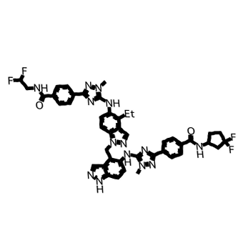 CCc1c(Nc2nc(-c3ccc(C(=O)NCC(F)F)cc3)nn2C)ccc2c1cnn2Cc1c(Nc2nc(-c3ccc(C(=O)NC4CCC(F)(F)C4)cc3)nn2C)ccc2[nH]ncc12